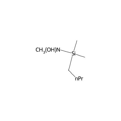 CCCC[Si](C)(C)N(C)O